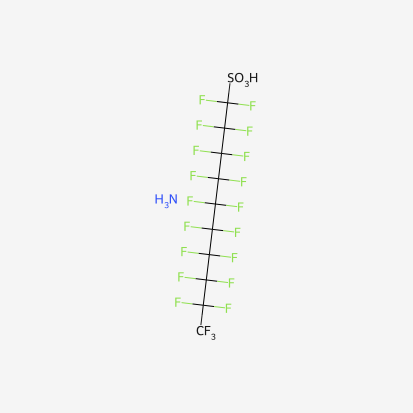 N.O=S(=O)(O)C(F)(F)C(F)(F)C(F)(F)C(F)(F)C(F)(F)C(F)(F)C(F)(F)C(F)(F)C(F)(F)C(F)(F)F